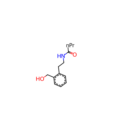 CCCC(=O)NCCc1ccccc1CO